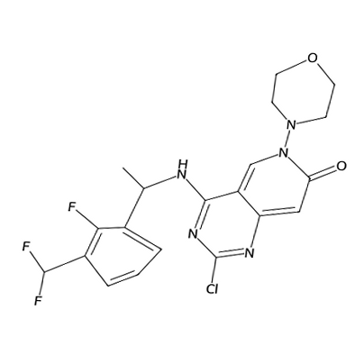 CC(Nc1nc(Cl)nc2cc(=O)n(N3CCOCC3)cc12)c1cccc(C(F)F)c1F